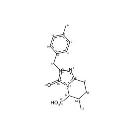 Cc1ccc(Cn2nc3n(c2=O)C(C(=O)O)C(C)CC3)cc1